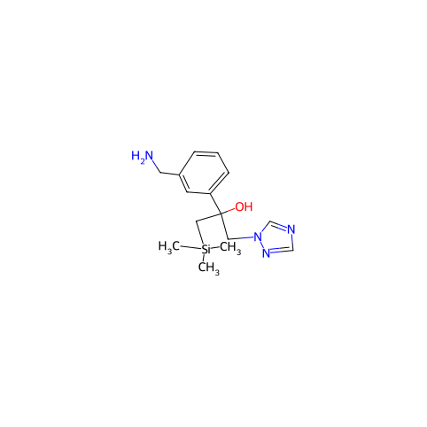 C[Si](C)(C)CC(O)(Cn1cncn1)c1cccc(CN)c1